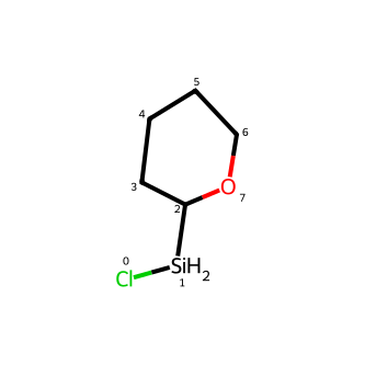 Cl[SiH2]C1CCCCO1